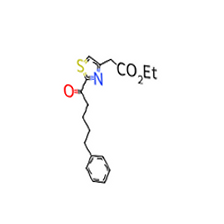 CCOC(=O)Cc1csc(C(=O)CCCCc2ccccc2)n1